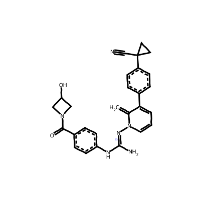 C=C1C(c2ccc(C3(C#N)CC3)cc2)=CC=CN1/N=C(\N)Nc1ccc(C(=O)N2CC(O)C2)cc1